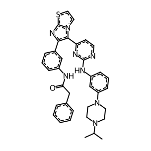 CC(C)N1CCN(c2cccc(Nc3nccc(-c4c(-c5cccc(NC(=O)Cc6ccccc6)c5)nc5sccn45)n3)c2)CC1